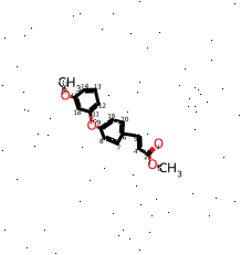 COC(=O)/C=C/c1ccc(Oc2cccc(OC)c2)cc1